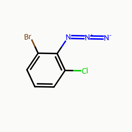 [N-]=[N+]=Nc1c(Cl)cccc1Br